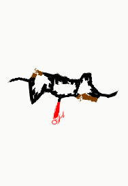 Cc1cc2c(O)c3sc(C)cc3cc2s1